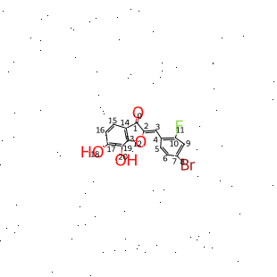 O=C1C(=Cc2ccc(Br)cc2F)Oc2c1ccc(O)c2O